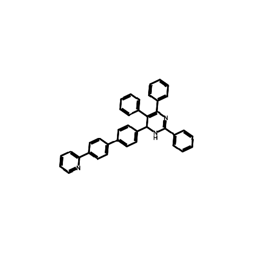 c1ccc(C2=NC(c3ccccc3)=C(c3ccccc3)C(c3ccc(-c4ccc(-c5ccccn5)cc4)cc3)N2)cc1